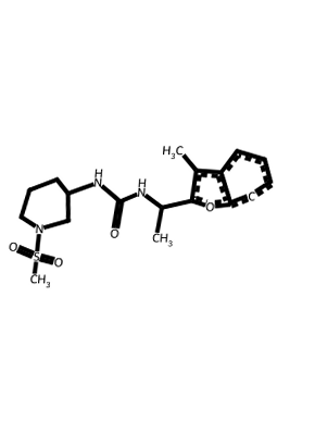 Cc1c(C(C)NC(=O)NC2CCCN(S(C)(=O)=O)C2)oc2ccccc12